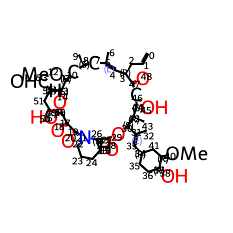 C=CC[C@@H]1/C=C(\C)C[C@H](C)C[C@H](OC)[C@H]2O[C@@](O)(C(=O)C(=O)N3CCCC[C@H]3C(=O)O[C@H](/C(C)=C/[C@@H]3CC[C@@H](O)[C@H](OC)C3)[C@H](C)[C@@H](O)CC1=O)[C@H](C)C[C@@H]2C=O